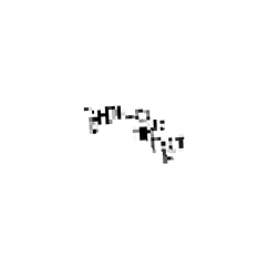 O=C(Nc1ccc(F)c(Cl)c1)c1cccc(CCN2CCN(C(=O)C3CC3)CC2)c1